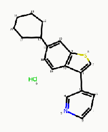 Cl.c1cncc(-c2csc3cc(C4CCCCC4)ccc23)c1